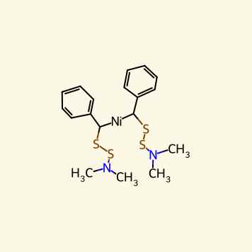 CN(C)SS[CH]([Ni][CH](SSN(C)C)c1ccccc1)c1ccccc1